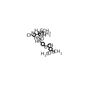 COc1cc2nccc(Oc3ccc(NC(=O)Nc4[nH]c(C(C)(C)C)nc4-c4ccc(Cl)nc4)cc3)c2cc1OC